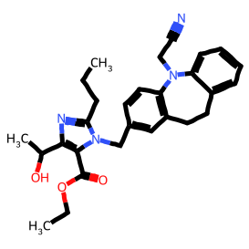 CCCc1nc(C(C)O)c(C(=O)OCC)n1Cc1ccc2c(c1)CCc1ccccc1N2CC#N